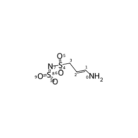 NC=CCS(=O)(=O)N=S(=O)=O